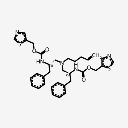 C=CCCCN(C[C@H](Cc1ccccc1)NC(=O)OCc1cncs1)C[C@H](Cc1ccccc1)NC(=O)OCc1cncs1